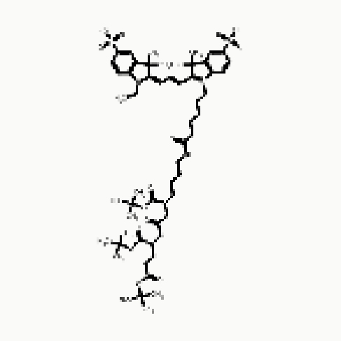 CCN1/C(=C/C=C/C2=[N+](CCCCCC(=O)NCCCC[C@@H](CC(=O)C[C@@H](CCC(=O)OC(C)(C)C)C(=O)OC(C)(C)C)C(=O)OC(C)(C)C)c3ccc(S(=O)(=O)O)cc3C2(C)C)C(C)(C)c2cc(S(=O)(=O)O)ccc21